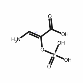 N/C=C(\OP(=O)(O)O)C(=O)O